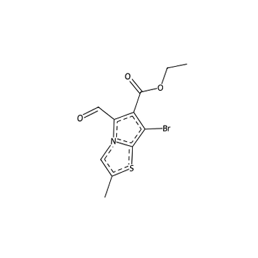 CCOC(=O)c1c(Br)c2sc(C)cn2c1C=O